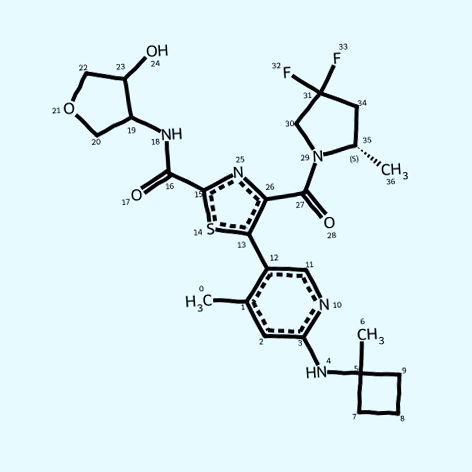 Cc1cc(NC2(C)CCC2)ncc1-c1sc(C(=O)NC2COCC2O)nc1C(=O)N1CC(F)(F)C[C@@H]1C